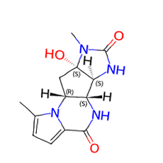 Cc1ccc2n1[C@@H]1C[C@]3(O)[C@@H](NC(=O)N3C)[C@@H]1NC2=O